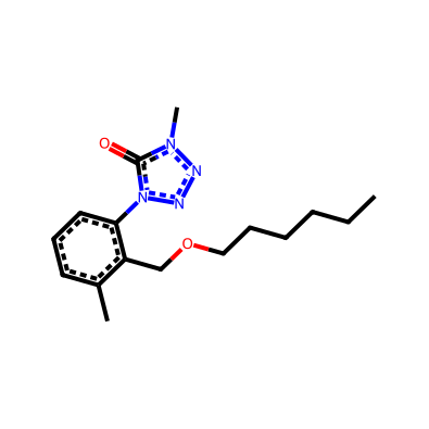 CCCCCCOCc1c(C)cccc1-n1nnn(C)c1=O